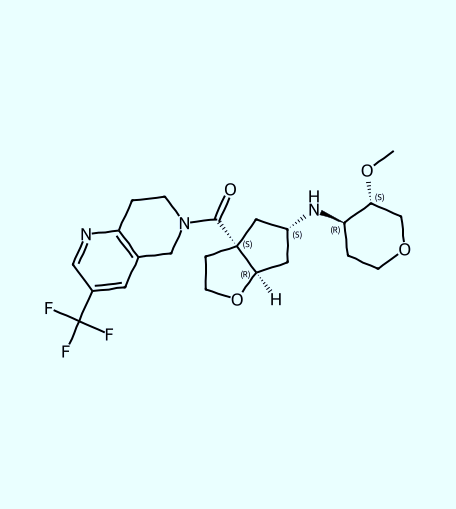 CO[C@@H]1COCC[C@H]1N[C@@H]1C[C@H]2OCC[C@@]2(C(=O)N2CCc3ncc(C(F)(F)F)cc3C2)C1